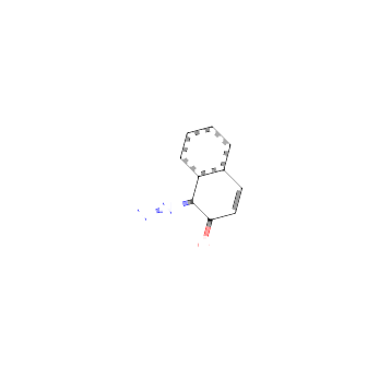 [N-]=[N+]=C1C(=O)C=Cc2ccccc21